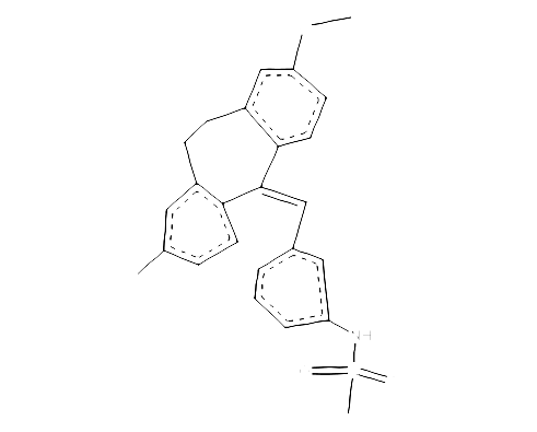 COc1ccc2c(c1)CCc1cc(C)ccc1C2=Cc1cccc(NS(C)(=O)=O)c1